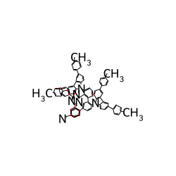 Cc1ccc(-c2ccc3c(c2)c2cc(-c4ccc(C)cc4)ccc2n3-c2ccc(-c3ccc(C#N)cc3)cc2-c2cccc(-n3c4ccc(-c5ccc(C)cc5)cc4c4cc(-c5ccc(C)cc5)ccc43)c2-c2nc(-c3ccccc3)nc(-c3ccccc3)n2)cc1